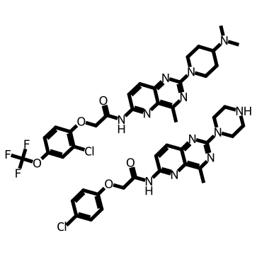 Cc1nc(N2CCC(N(C)C)CC2)nc2ccc(NC(=O)COc3ccc(OC(F)(F)F)cc3Cl)nc12.Cc1nc(N2CCNCC2)nc2ccc(NC(=O)COc3ccc(Cl)cc3)nc12